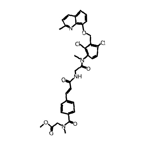 COC(=O)CN(C)C(=O)c1ccc(C=CC(=O)NCC(=O)N(C)c2ccc(Cl)c(COc3cccc4ccc(C)nc34)c2Cl)cc1